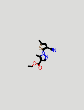 CCOC(=O)c1cnn(-c2sc(C)cc2C#N)c1C